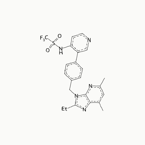 CCc1nc2c(C)cc(C)nc2n1Cc1ccc(-c2cnccc2NS(=O)(=O)C(F)(F)F)cc1